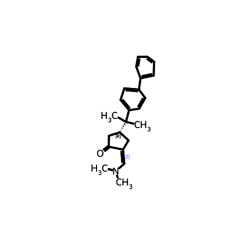 CN(C)/C=C1/C[C@@H](C(C)(C)c2ccc(-c3ccccc3)cc2)CC1=O